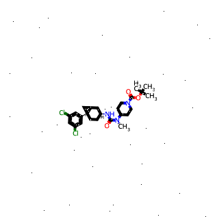 CN(C(=O)N[C@@H]1CC[C@@]2(c3cc(Cl)cc(Cl)c3)CC2C1)C1CCN(C(=O)OC(C)(C)C)CC1